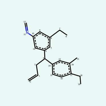 C=CCC(c1cc(CC)cc(N=C)c1)c1ccc(CC)c(C)c1